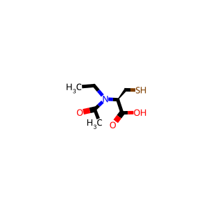 CCN(C(C)=O)[C@@H](CS)C(=O)O